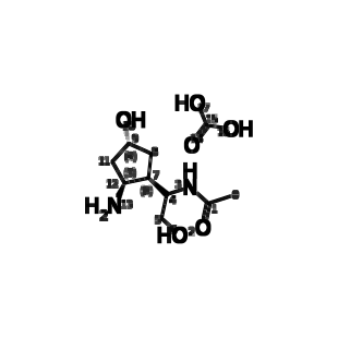 CC(=O)NC(CO)[C@@H]1C[C@@H](O)C[C@@H]1N.O=C(O)O